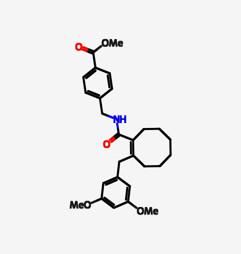 COC(=O)c1ccc(CNC(=O)C2=C(Cc3cc(OC)cc(OC)c3)CCCCCC2)cc1